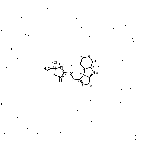 CC1(C)CNC(SCC2=CSC3=NC4CCCCC4N23)=N1